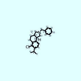 CC(C)c1ccc2c(c1Cl)CC[C@@]1(C)CN(Cc3ccccc3)C[C@@H]21